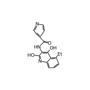 CCc1cccc2nc(O)c(NC(=O)c3ccncc3)c(O)c12